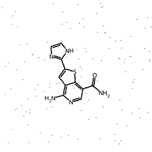 NC(=O)c1cnc(N)c2cc(-c3ncc[nH]3)sc12